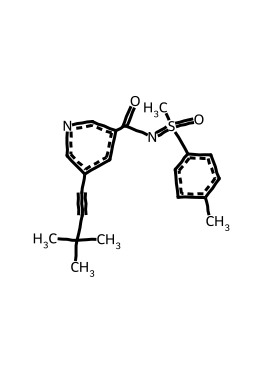 Cc1ccc(S(C)(=O)=NC(=O)c2cncc(C#CC(C)(C)C)c2)cc1